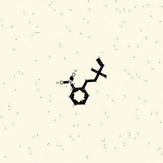 C=CC(C)(C)CCc1ccccc1[N+](=O)[O-]